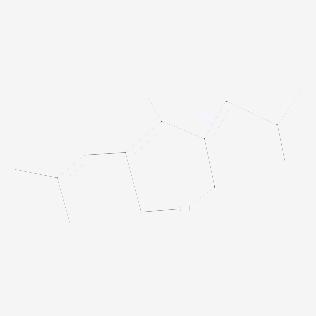 CC(C)=CC1=C(C)/C(=C/C(C)C)COC1